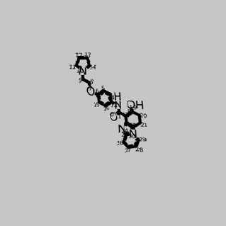 O=C(Nc1ccc(OCCN2CCCC2)cc1)C1=C(O)CCc2c1nc1ccccn21